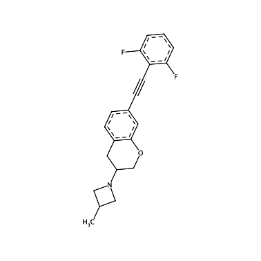 CC1CN(C2COc3cc(C#Cc4c(F)cccc4F)ccc3C2)C1